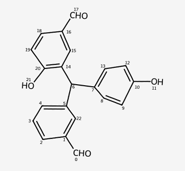 O=Cc1cccc(C(c2ccc(O)cc2)c2cc(C=O)ccc2O)c1